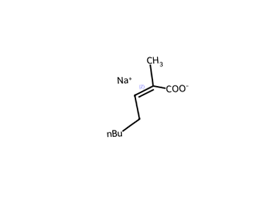 CCCCC/C=C(/C)C(=O)[O-].[Na+]